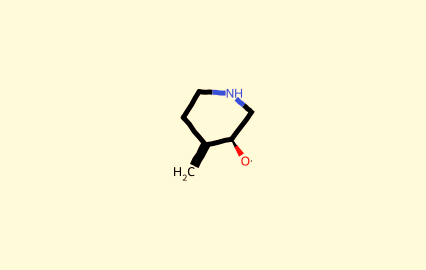 C=C1CCNC[C@H]1[O]